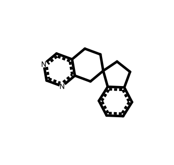 c1ccc2c(c1)CCC21CCc2cncnc2C1